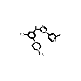 CN1CCN(c2cc(Nc3ncn(-c4ccnc(F)c4)n3)cc(C(F)(F)F)c2)CC1